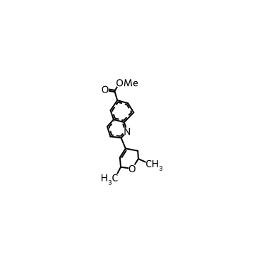 COC(=O)c1ccc2nc(C3=CC(C)OC(C)C3)ccc2c1